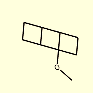 COC12C3C4C5C3C1C5C42